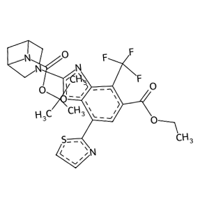 CCOC(=O)c1cc(-c2nccs2)c2oc(N3CC4CC(C3)N4C(=O)OC(C)(C)C)nc2c1C(F)(F)F